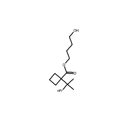 CCCC(C)(C)C1(C(=O)OCCCCO)CCC1